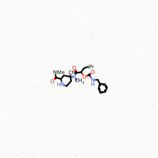 CNC(=O)C1CC(C#N)(N(C)C(=O)C(CC(C)C)OC(=O)NCc2ccccc2)CCN1